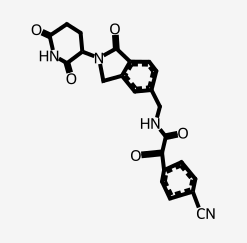 N#Cc1ccc(C(=O)C(=O)NCc2ccc3c(c2)CN(C2CCC(=O)NC2=O)C3=O)cc1